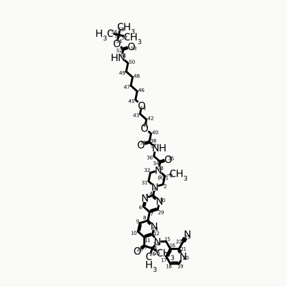 C[C@@H]1CN(c2ncc(-c3ccc4c(n3)N(Cc3cccnc3C#N)C(C)(C)C4=O)cn2)CCN1C(=O)CNC(=O)COCCOCCCCCCNC(=O)OC(C)(C)C